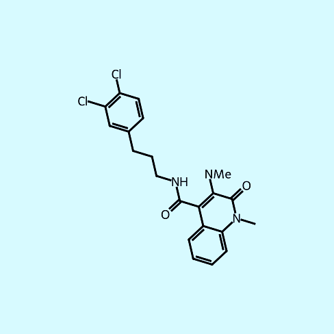 CNc1c(C(=O)NCCCc2ccc(Cl)c(Cl)c2)c2ccccc2n(C)c1=O